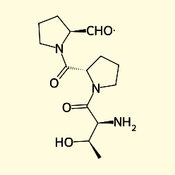 C[C@@H](O)[C@H](N)C(=O)N1CCC[C@H]1C(=O)N1CCC[C@H]1[C]=O